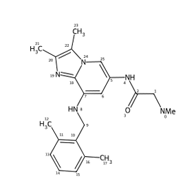 CNCC(=O)Nc1cc(NCc2c(C)cccc2C)c2nc(C)c(C)n2c1